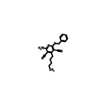 CCCCCc1c(C#N)c(N)nc(SCc2ccccc2)c1C#N